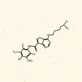 CCN(CC)CCCCNc1ncnc2c(C(=O)Nc3c(Cl)c(C)c(Br)c(OC)c3Cl)csc12